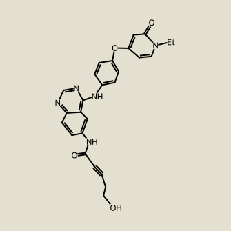 CCn1ccc(Oc2ccc(Nc3ncnc4ccc(NC(=O)C#CCCO)cc34)cc2)cc1=O